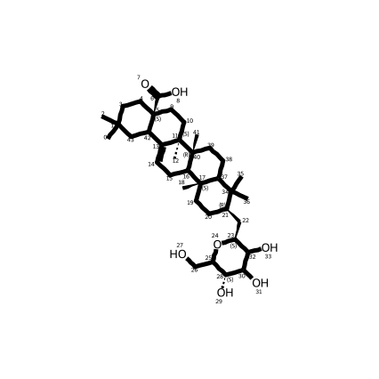 CC1(C)CC[C@]2(C(=O)O)CC[C@]3(C)C(=CCC4[C@@]5(C)CC[C@H](C[C@@H]6OC(CO)[C@@H](O)C(O)C6O)C(C)(C)C5CC[C@]43C)C2C1